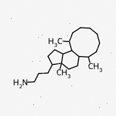 CC1CCCCCCC(C)C2C1CCC1(C)C(CCCN)CCC21